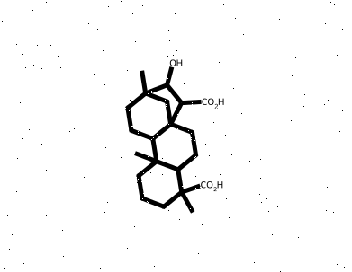 CC12CCC3C4(C)CCCC(C)(C(=O)O)C4CCC3(C1)C(C(=O)O)C2O